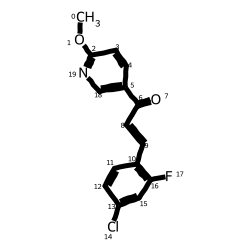 COc1ccc(C(=O)/C=C/c2ccc(Cl)cc2F)cn1